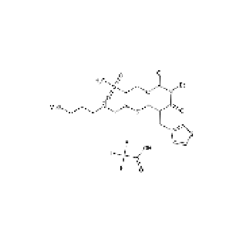 CCN(C(=O)OCCS(C)(=O)=O)C(=O)C(CSSCNCCCSC)Cc1ccsc1.O=C(O)C(F)(F)F